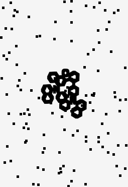 c1ccc(N(c2ccc(-c3cccc4oc5c6ccccc6c(N(c6ccccc6)c6cccc7ccccc67)cc5c34)cc2)c2cccc3ccccc23)cc1